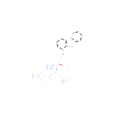 CC(C)C[C@@H](NC(=O)OCc1cccc2c1Cc1ccccc1-2)C(=O)O